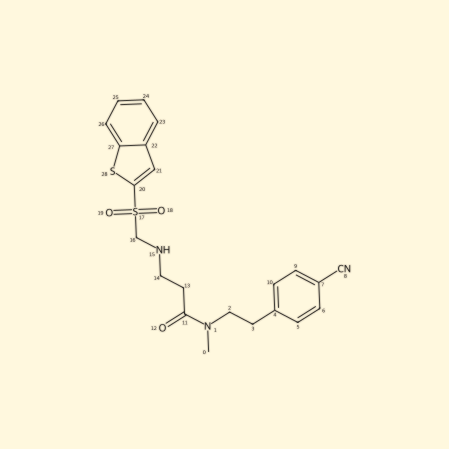 CN(CCc1ccc(C#N)cc1)C(=O)CCNCS(=O)(=O)c1cc2ccccc2s1